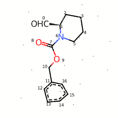 O=C[C@H]1CCCCN1C(=O)OCc1ccccc1